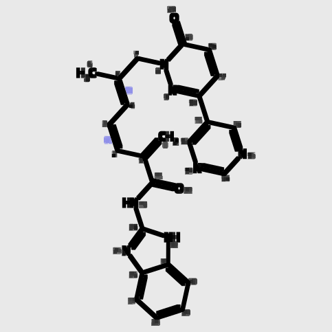 C=C(/C=C\C=C(/C)Cn1nc(-c2cncnc2)ccc1=O)C(=O)Nc1nc2ccccc2[nH]1